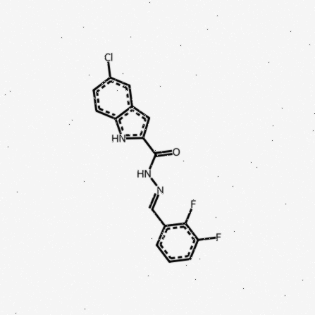 O=C(NN=Cc1cccc(F)c1F)c1cc2cc(Cl)ccc2[nH]1